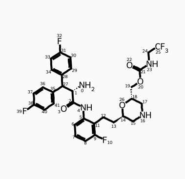 N[C@H](C(=O)Nc1cccc(F)c1CC[C@@H]1CNC[C@@H](COC(=O)NCC(F)(F)F)O1)C(c1ccc(F)cc1)c1ccc(F)cc1